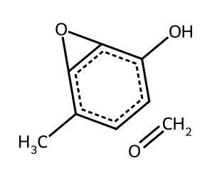 C=O.Cc1ccc(O)c2c1O2